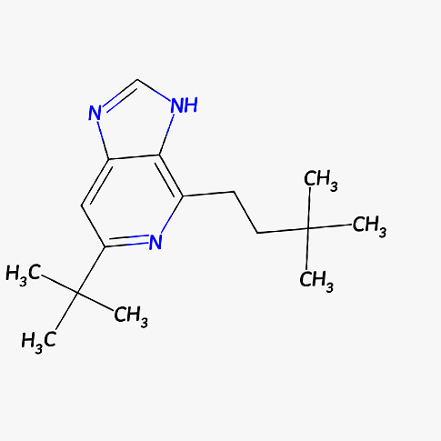 CC(C)(C)CCc1nc(C(C)(C)C)cc2nc[nH]c12